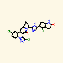 O=C1CCc2c(ccc(-c3cnc(C4C5CC5c5cc(-c6cc(Cl)ccc6-n6cc(Cl)nn6)cc(=O)n54)[nH]3)c2Cl)N1